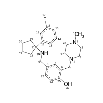 CN1CCN(Cc2cc(CNC3(c4cccc(F)c4)CCCC3)ccc2O)CC1